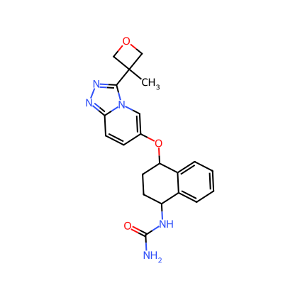 CC1(c2nnc3ccc(OC4CCC(NC(N)=O)c5ccccc54)cn23)COC1